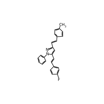 Cc1ccc(/C=C/c2cc(/C=C/c3ccc(F)cc3)n(-c3ccccc3)n2)cc1